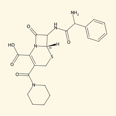 NC(C(=O)NC1C(=O)N2C(C(=O)O)=C(C(=O)N3CCCCC3)CS[C@@H]12)c1ccccc1